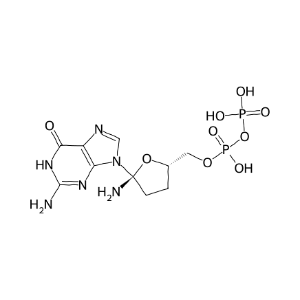 Nc1nc2c(ncn2[C@@]2(N)CC[C@@H](COP(=O)(O)OP(=O)(O)O)O2)c(=O)[nH]1